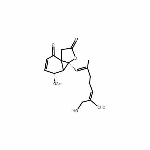 CC(=O)O[C@@H]1C=CC(=O)C23CC(=O)O[C@@]2(/C=C(\C)CC/C=C(/C=O)CO)C13